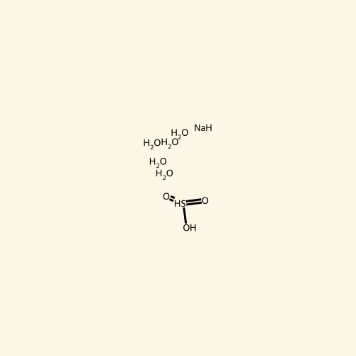 O.O.O.O.O.O=[SH](=O)O.[NaH]